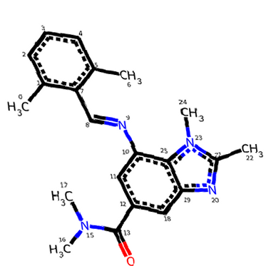 Cc1cccc(C)c1C=Nc1cc(C(=O)N(C)C)cc2nc(C)n(C)c12